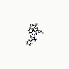 CCN(CC)c1ccc(/N=C2\C(c3ccccc3)=Nn3c2nnc3-c2ccccc2)c(C)n1